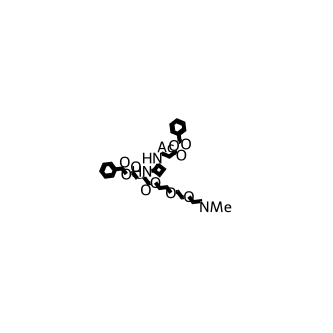 CNCCOCCOCCOC(=O)[C@H](CC(=O)OC(=O)c1ccccc1)NC1CCC1N[C@@H](CC(=O)OC(=O)c1ccccc1)C(C)=O